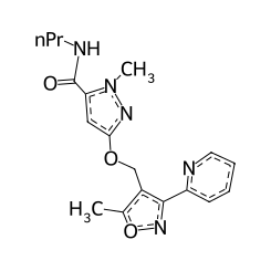 CCCNC(=O)c1cc(OCc2c(-c3ccccn3)noc2C)nn1C